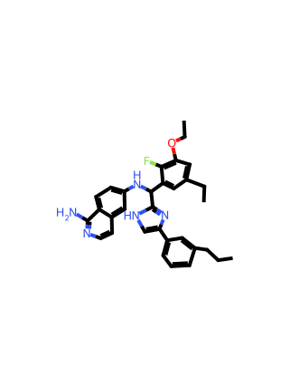 CCCc1cccc(-c2c[nH]c(C(Nc3ccc4c(N)nccc4c3)c3cc(CC)cc(OCC)c3F)n2)c1